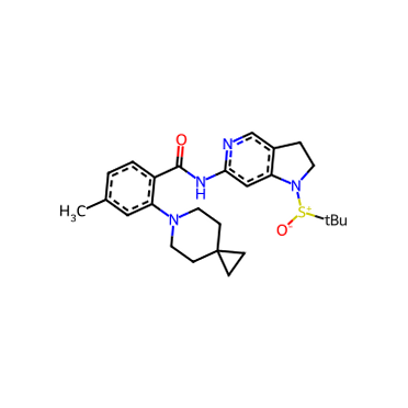 Cc1ccc(C(=O)Nc2cc3c(cn2)CCN3[S+]([O-])C(C)(C)C)c(N2CCC3(CC2)CC3)c1